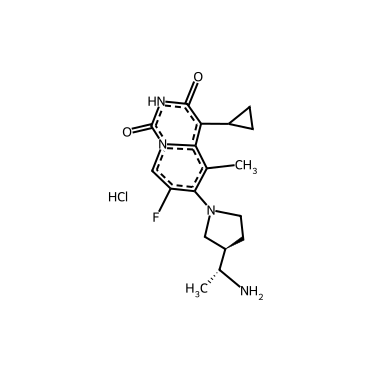 Cc1c(N2CC[C@@H]([C@@H](C)N)C2)c(F)cn2c(=O)[nH]c(=O)c(C3CC3)c12.Cl